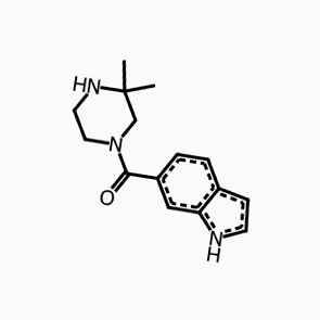 CC1(C)CN(C(=O)c2ccc3cc[nH]c3c2)CCN1